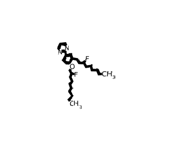 CCCCCCCCC(F)COc1ccc(-c2ncccn2)cc1CCC(F)CCCCCC